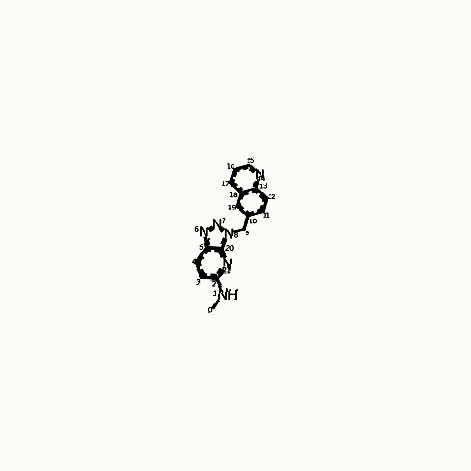 CNc1ccc2nnn(Cc3ccc4ncccc4c3)c2n1